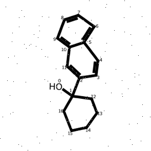 OC1(c2ccc3ccccc3c2)CCCCC1